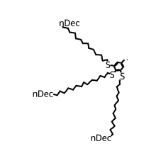 [CH2]c1cc(SCCCCCCCCCCCCCCCCCCCCCCCC)c(SCCCCCCCCCCCCCCCCCCCCCCCC)c(SCCCCCCCCCCCCCCCCCCCCCCCC)c1